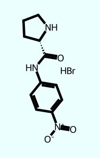 Br.O=C(Nc1ccc([N+](=O)[O-])cc1)[C@@H]1CCCN1